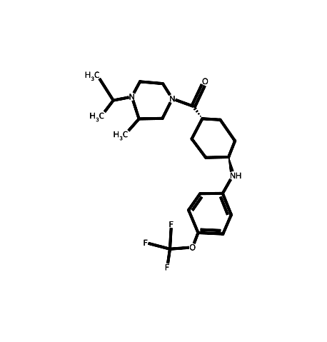 CC(C)N1CCN(C(=O)[C@H]2CC[C@H](Nc3ccc(OC(F)(F)F)cc3)CC2)CC1C